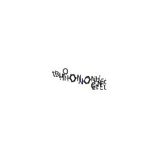 CC[N+](CC)(CC)CC(=O)Nc1ccc(/N=N/c2ccc(NC(=O)C(C)(C)C)cc2)cc1